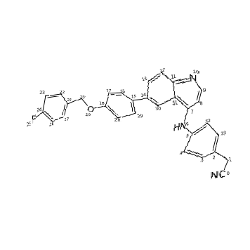 N#CCc1ccc(Nc2ccnc3ccc(-c4ccc(OCc5ccc(F)cc5)cc4)cc23)cc1